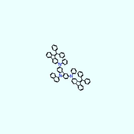 C1=CC2c3ccccc3C(=C(c3ccccc3)c3ccccc3)C2C=C1N(c1ccccc1)c1ccc2c(c1)c1cc(N(c3ccccc3)c3ccc4c(c3)C(=C(c3ccccc3)c3ccccc3)c3ccccc3-4)ccc1n2-c1cccc2ccccc12